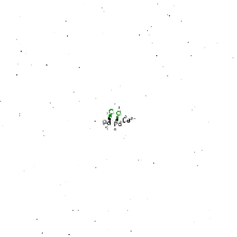 [Ca+2].[Cl][Pd-].[Cl][Pd-]